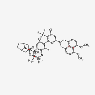 COc1ccc(CN(Cc2ccc(OC)cc2)c2cc(Cl)c(C(F)(F)F)c(-c3c(Cl)cc4c(N5CC6CCC(C5)N6C(=O)OC(C)(C)C)nc(F)nc4c3F)n2)cc1